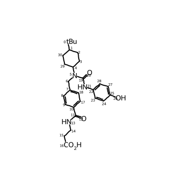 CC(C)(C)C1CCC(N(Cc2ccc(C(=O)NCCC(=O)O)cc2)C(=O)Nc2ccc(O)cc2)CC1